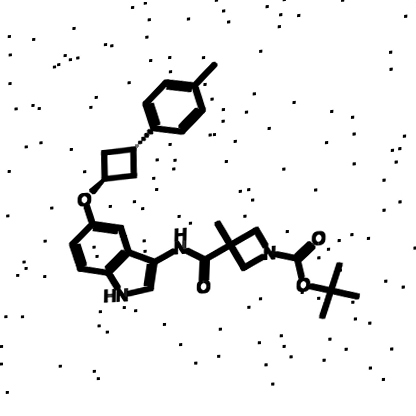 Cc1ccc([C@H]2C[C@H](Oc3ccc4[nH]cc(NC(=O)C5(C)CN(C(=O)OC(C)(C)C)C5)c4c3)C2)cc1